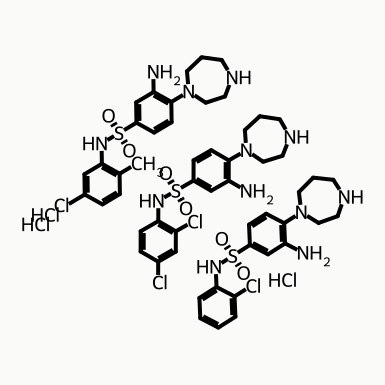 Cc1ccc(Cl)cc1NS(=O)(=O)c1ccc(N2CCCNCC2)c(N)c1.Cl.Cl.Cl.Nc1cc(S(=O)(=O)Nc2ccc(Cl)cc2Cl)ccc1N1CCCNCC1.Nc1cc(S(=O)(=O)Nc2ccccc2Cl)ccc1N1CCCNCC1